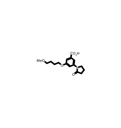 COCCCCOc1cc(C(=O)O)cc(N2CCCC2=O)c1